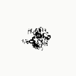 CNC(=O)C[C@@H]1CN(Cc2cc(OC)cc(OC)c2)C(=O)[C@H](CC(C)C)N1C(=O)NC1CCCCC1